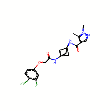 Cc1c(C(=O)NC23CC(NC(=O)COc4ccc(Cl)c(F)c4)(C2)C3)cnn1C